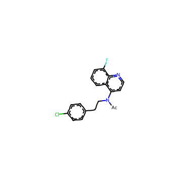 CC(=O)N(CCc1ccc(Cl)cc1)c1ccnc2c(F)cccc12